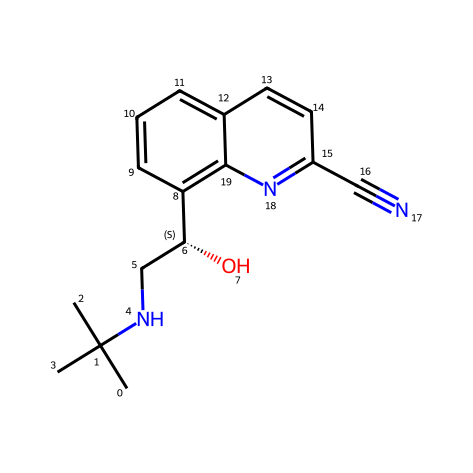 CC(C)(C)NC[C@@H](O)c1cccc2ccc(C#N)nc12